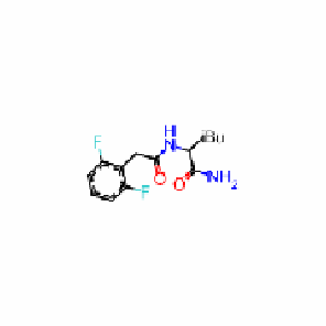 CCC(C)C(NC(=O)Cc1c(F)cccc1F)C(N)=O